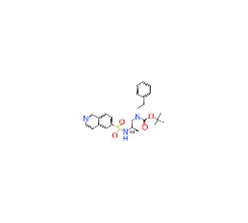 C[C@H](CN(CCc1ccccc1)C(=O)OC(C)(C)C)NS(=O)(=O)c1ccc2cnccc2c1